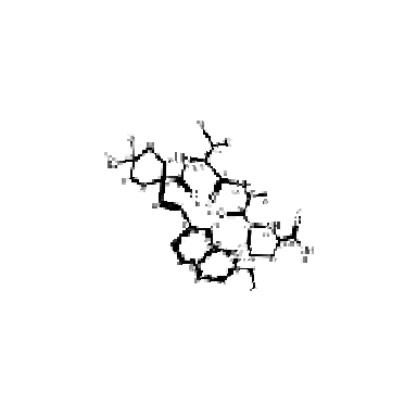 CCc1ccc2ccc(/C=C/[C@]3(C(=O)N[C@H](C(=O)N[C@@H](C)C(=O)N4CCCC(C(=O)O)N4)C(C)C)CC[C@](C)(O)CC3)cc2n1